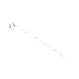 CCCCCCCCCCCCCCCCCCCCCCCCCCCCCC1=CC=C[N]1